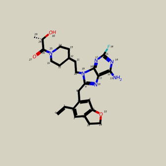 C=Cc1cc2c(cc1Cc1nc3c(N)nc(F)nc3n1CCC1CCN(C(=O)[C@H](C)O)CC1)OCC2